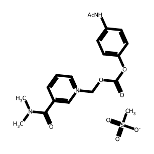 CC(=O)Nc1ccc(OC(=O)OC[n+]2cccc(C(=O)N(C)C)c2)cc1.CS(=O)(=O)[O-]